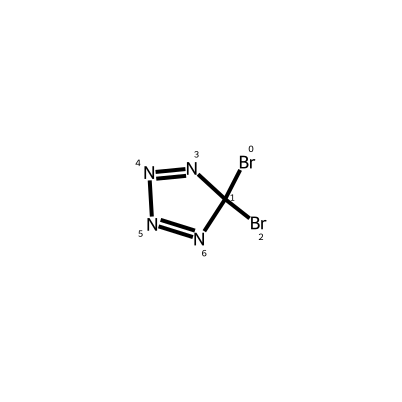 BrC1(Br)N=NN=N1